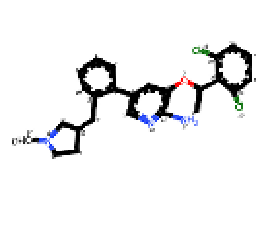 CC(Oc1cc(-c2ccccc2CC2CCN(C=O)C2)cnc1N)c1c(Cl)cccc1Cl